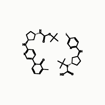 CC(C)(C)N(C(=O)O)[C@H]1CC[C@H](Nc2ccc(I)cn2)C1.Cc1cccn(-c2ccc(N[C@H]3CC[C@H](NC(=O)OC(C)(C)C)C3)nc2)c1=O